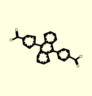 O=C(Cl)c1ccc(-c2c3ccccc3c(-c3ccc(C(=O)Cl)cc3)c3ccccc23)cc1